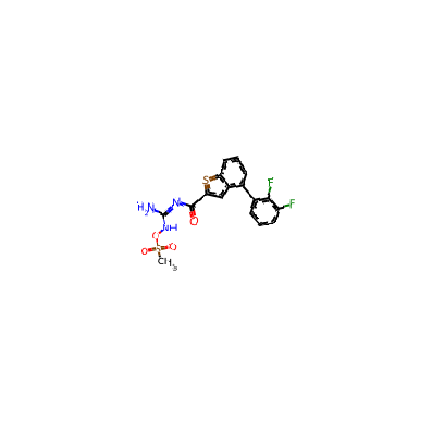 CS(=O)(=O)ONC(N)=NC(=O)c1cc2c(-c3cccc(F)c3F)cccc2s1